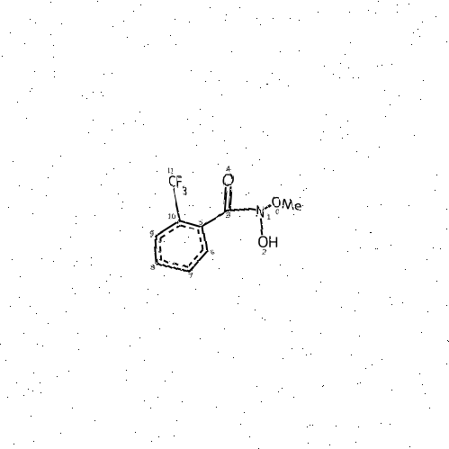 CON(O)C(=O)c1ccccc1C(F)(F)F